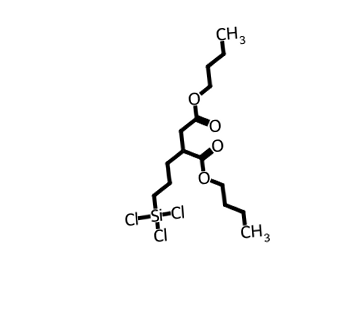 CCCCOC(=O)CC(CCC[Si](Cl)(Cl)Cl)C(=O)OCCCC